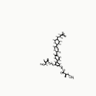 C=C(CO)C(=O)OCOc1cc(OCOC(=O)C(=C)CO)cc(-c2ccc(C3CCC(C4CCC(CCC=C(F)F)CC4)CC3)cc2)c1